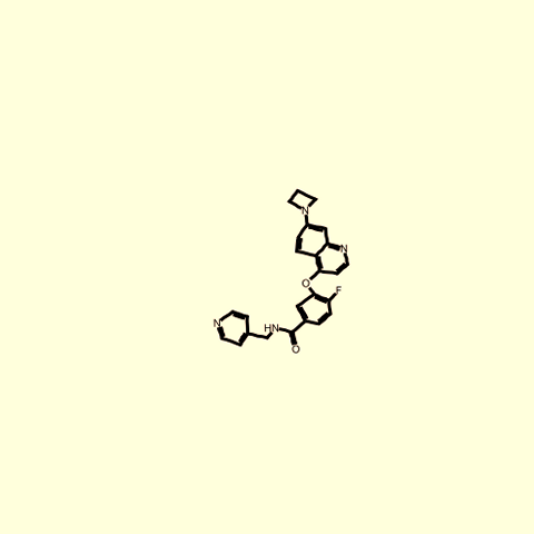 O=C(NCc1ccncc1)c1ccc(F)c(Oc2ccnc3cc(N4CCC4)ccc23)c1